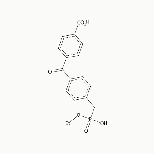 CCOP(=O)(O)Cc1ccc(C(=O)c2ccc(C(=O)O)cc2)cc1